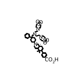 CC1(C)C(c2ccc(C(=O)O)cc2)=CC[C@]2(C)CN(C3CCC(CN(CCN4CCS(=O)(=O)CC4)CCN4CCS(=O)(=O)CC4)(c4ccccc4)CC3)CC=C12